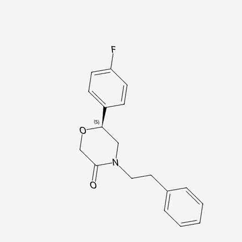 O=C1CO[C@@H](c2ccc(F)cc2)CN1CCc1ccccc1